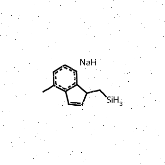 Cc1cccc2c1C=CC2C[SiH3].[NaH]